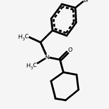 CC(c1ccc(Br)cc1)N(C)C(=O)C1CCCCC1